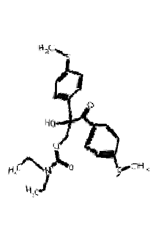 CCN(CC)C(=O)OCC(O)(C(=O)c1ccc(SC)cc1)c1ccc(SC)cc1